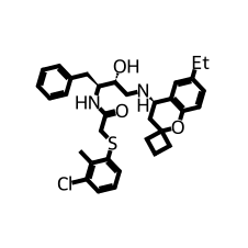 CCc1ccc2c(c1)[C@@H](NC[C@@H](O)[C@H](Cc1ccccc1)NC(=O)CSc1cccc(Cl)c1C)CC1(CCC1)O2